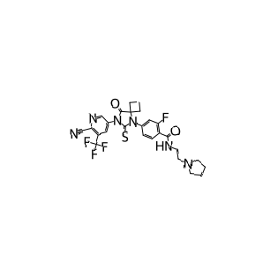 N#Cc1ncc(N2C(=O)C3(CCC3)N(c3ccc(C(=O)NCCN4CCCC4)c(F)c3)C2=S)cc1C(F)(F)F